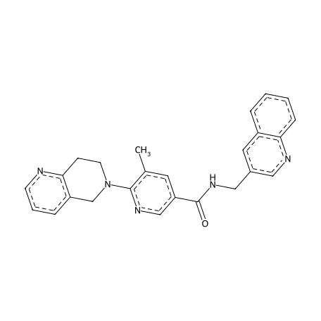 Cc1cc(C(=O)NCc2cnc3ccccc3c2)cnc1N1CCc2ncccc2C1